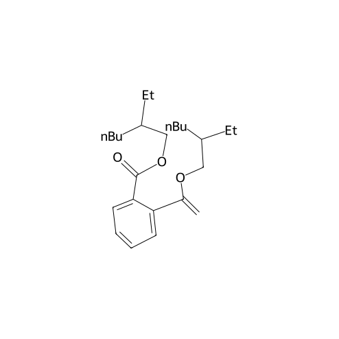 C=C(OCC(CC)CCCC)c1ccccc1C(=O)OCC(CC)CCCC